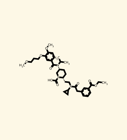 CCOC(=O)c1cccc(CC(=O)N(CC[C@H]2CC[C@@H](N(C(=O)c3ccc(OC)c(OCCCOC)c3)C(C)C)CN2C(=O)O)C2CC2)c1